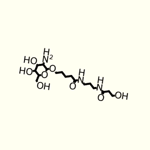 NC1C(OCCCCC(=O)NCCCNC(=O)CCO)OC(CO)C(O)C1O